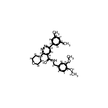 COc1ccc(CNC(=O)c2cc(-c3cc(C)cc(C)c3)nnc2N2CCOCC2)cc1OC